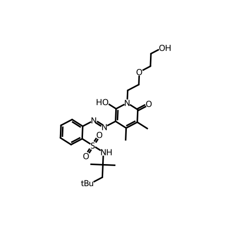 Cc1c(/N=N/c2ccccc2S(=O)(=O)NC(C)(C)CC(C)(C)C)c(O)n(CCOCCO)c(=O)c1C